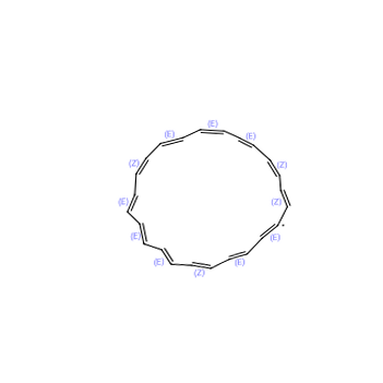 [C]1=C/C=C/C=C\C=C\C=C\C=C\C=C/C=C/C=C/C=C/C=C\C=C/1